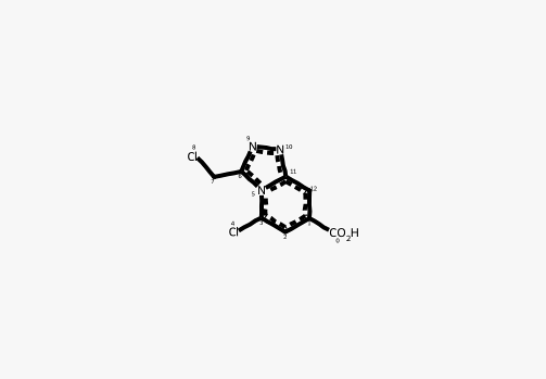 O=C(O)c1cc(Cl)n2c(CCl)nnc2c1